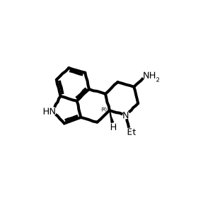 CCN1CC(N)CC2c3cccc4[nH]cc(c34)C[C@H]21